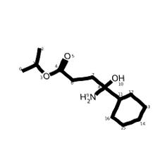 CC(C)OC(=O)CCC(N)(O)C1CCCCC1